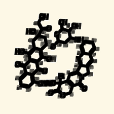 CCC1(O)C(=O)OCc2c1cc1n(c2=O)Cc2cc3ccccc3nc2-1.COc1cccc2c1C(=O)c1c(O)c3c(c(O)c1C2=O)C[C@@](O)(C(=O)CO)C[C@@H]3OC1CC(N)C(O)C(C)O1